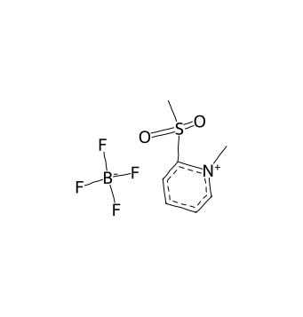 C[n+]1ccccc1S(C)(=O)=O.F[B-](F)(F)F